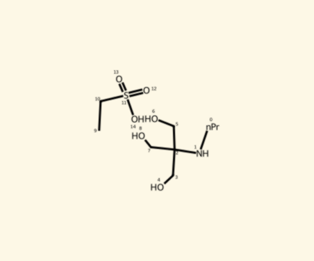 CCCNC(CO)(CO)CO.CCS(=O)(=O)O